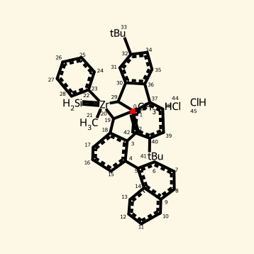 CC1=Cc2c(-c3cccc4ccccc34)cccc2[CH]1[Zr]([CH3])(=[SiH2])([c]1ccccc1)[CH]1c2cc(C(C)(C)C)ccc2-c2ccc(C(C)(C)C)cc21.Cl.Cl